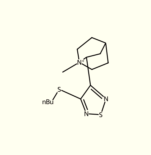 CCCCSc1nsnc1C1CC2CC[N+]1(C)CC2